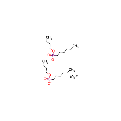 CCCCCCP(=O)([O-])OCCCC.CCCCCCP(=O)([O-])OCCCC.[Mg+2]